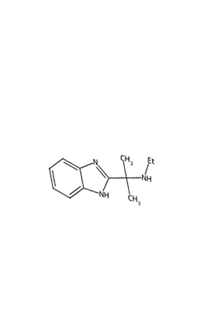 CCNC(C)(C)c1nc2ccccc2[nH]1